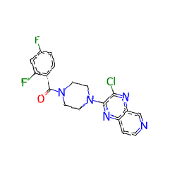 O=C(c1ccc(F)cc1F)N1CCN(c2nc3ccncc3nc2Cl)CC1